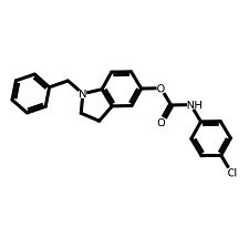 O=C(Nc1ccc(Cl)cc1)Oc1ccc2c(c1)CCN2Cc1ccccc1